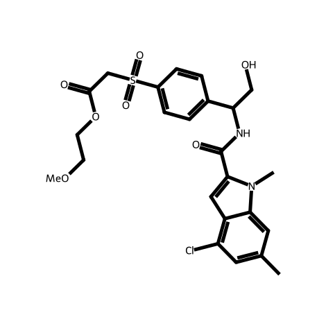 COCCOC(=O)CS(=O)(=O)c1ccc(C(CO)NC(=O)c2cc3c(Cl)cc(C)cc3n2C)cc1